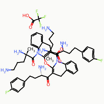 C[C@](N)(CCCN)C(=O)N1C(OC2=C(C(=O)[C@@H](N)CCc3ccc(F)cc3)Cc3ccccc3N2C(=O)[C@@](C)(N)CCCN)=C(C(=O)[C@@H](N)CCc2ccc(F)cc2)Cc2ccccc21.O=C(O)C(F)(F)F